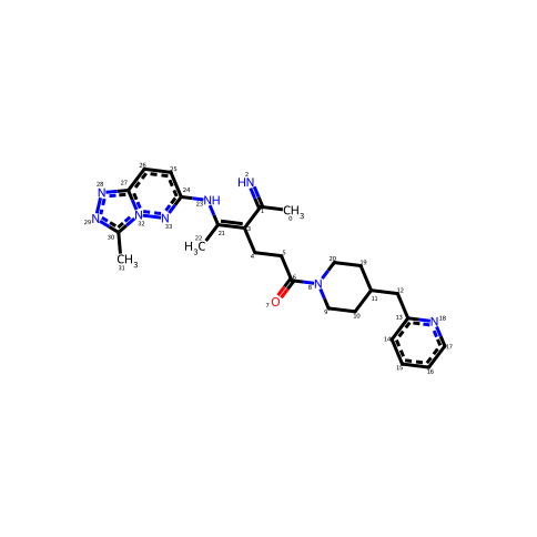 CC(=N)/C(CCC(=O)N1CCC(Cc2ccccn2)CC1)=C(/C)Nc1ccc2nnc(C)n2n1